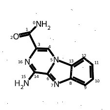 NC(=O)c1cn2c(nc3ccccc32)c(N)n1